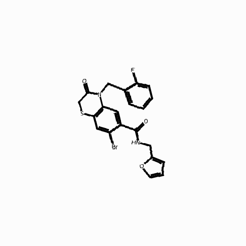 O=C(NCc1ccco1)c1cc2c(cc1Br)SCC(=O)N2Cc1ccccc1F